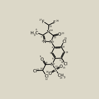 Cc1nn(-c2cc(N(C(=O)C(Cl)Cl)S(C)(=O)=O)c(Cl)cc2Cl)c(=O)n1C(F)F